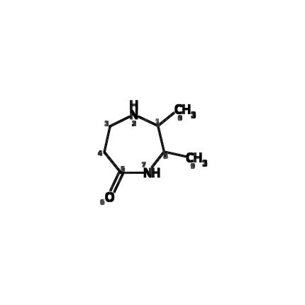 CC1NCCC(=O)NC1C